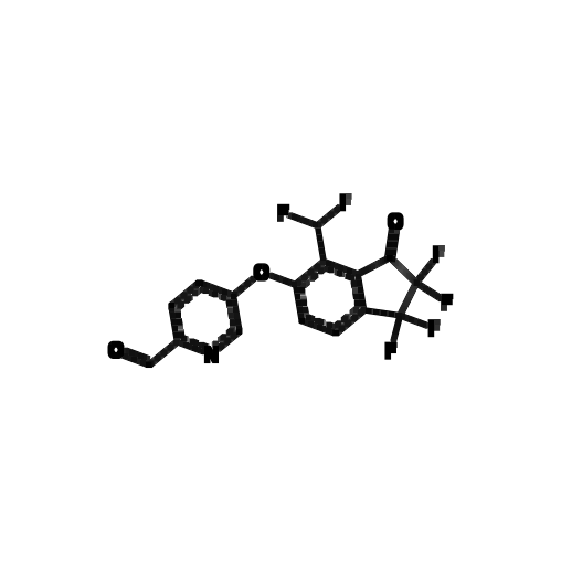 O=Cc1ccc(Oc2ccc3c(c2C(F)F)C(=O)C(F)(F)C3(F)F)cn1